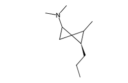 CCC[C@@H]1C(C)C12CC2N(C)C